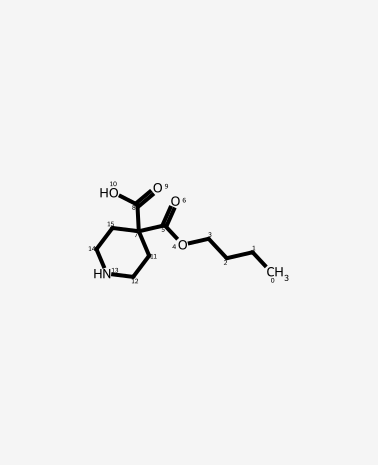 CCCCOC(=O)C1(C(=O)O)CCNCC1